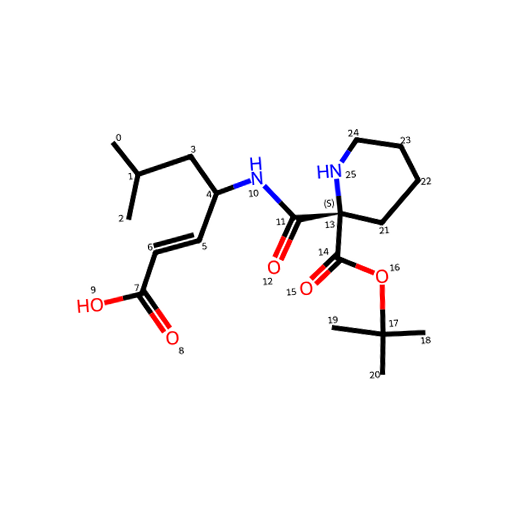 CC(C)CC(C=CC(=O)O)NC(=O)[C@]1(C(=O)OC(C)(C)C)CCCCN1